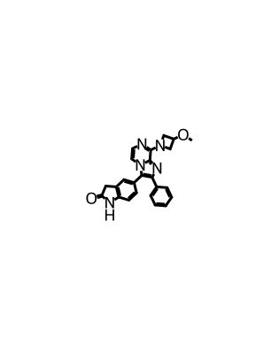 COC1CN(c2nccn3c(-c4ccc5c(c4)CC(=O)N5)c(-c4ccccc4)nc23)C1